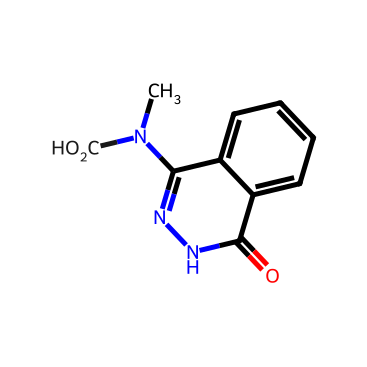 CN(C(=O)O)c1n[nH]c(=O)c2ccccc12